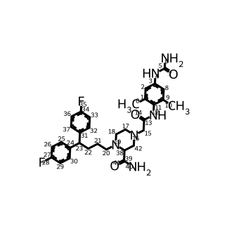 Cc1cc(NC(N)=O)cc(C)c1NC(=O)CN1CCN(CCCC(c2ccc(F)cc2)c2ccc(F)cc2)C(C(N)=O)C1